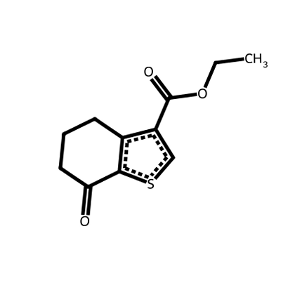 CCOC(=O)c1csc2c1CCCC2=O